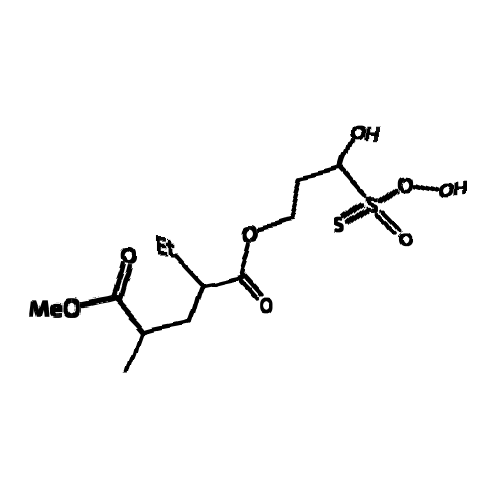 CCC(CC(C)C(=O)OC)C(=O)OCCC(O)S(=O)(=S)OO